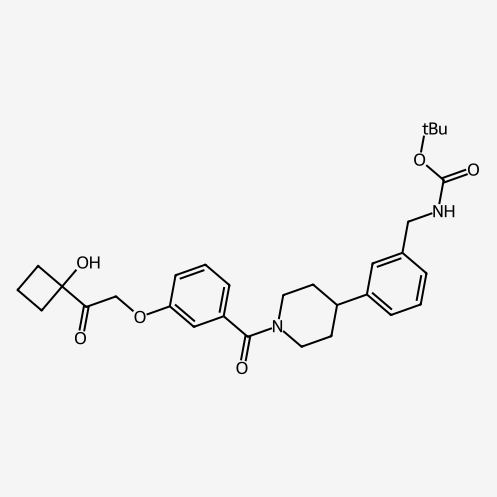 CC(C)(C)OC(=O)NCc1cccc(C2CCN(C(=O)c3cccc(OCC(=O)C4(O)CCC4)c3)CC2)c1